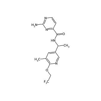 Cc1cc(C(C)NC(=O)c2ccnc(N)n2)cnc1OCC(F)(F)F